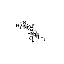 C[C@@H](CO)Nc1ncc2c(F)cc(C(=O)NC(c3cccc(F)c3)c3cnn(C)c3)cc2n1